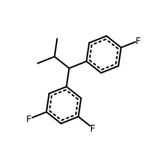 CC(C)C(c1ccc(F)cc1)c1cc(F)cc(F)c1